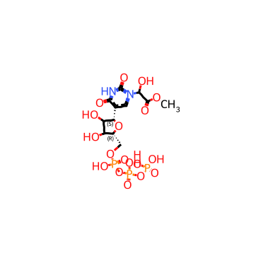 COC(=O)C(O)n1cc([C@@H]2O[C@H](COP(=O)(O)OP(=O)(O)OP(=O)(O)O)C(O)C2O)c(=O)[nH]c1=O